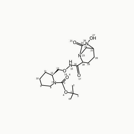 CC(C)(C)OC(=O)N1CCCC[C@H]1CONC(=O)C1CCC2CN1C(=O)N2O